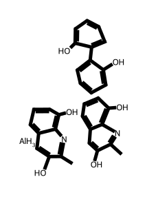 Cc1nc2c(O)cccc2cc1O.Cc1nc2c(O)cccc2cc1O.Oc1ccccc1-c1ccccc1O.[AlH3]